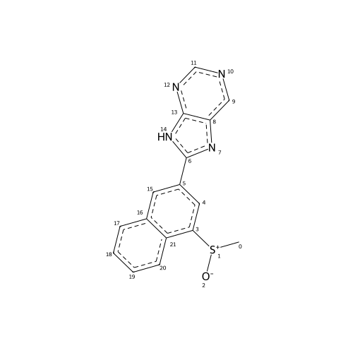 C[S+]([O-])c1cc(-c2nc3cncnc3[nH]2)cc2ccccc12